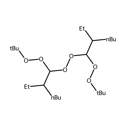 CCCCC(CC)C(OOC(OOC(C)(C)C)C(CC)CCCC)OOC(C)(C)C